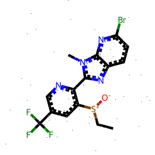 CC[S+]([O-])c1cc(C(F)(F)F)cnc1-c1nc2ccc(Br)nc2n1C